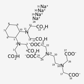 O=C(O)CN(CC(=O)O)C1CCCCC1N(CC(=O)O)CC(=O)O.O=C([O-])CN(CCN(CC(=O)[O-])CC(=O)[O-])CC(=O)[O-].[Na+].[Na+].[Na+].[Na+]